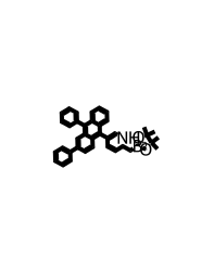 CC1(C)OB(CC/C=C\C(=C/N)c2c3ccccc3c(-c3ccccc3)c3cc(-c4ccccc4)ccc23)OC1(C)C